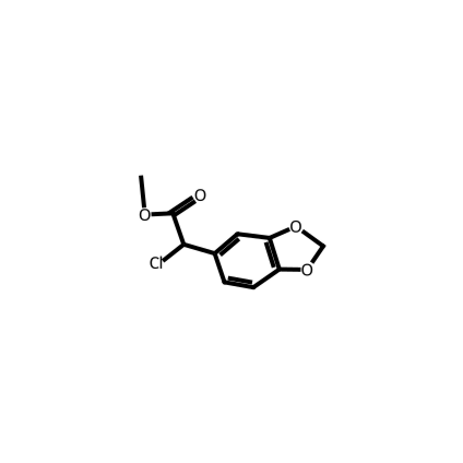 COC(=O)C(Cl)c1ccc2c(c1)OCO2